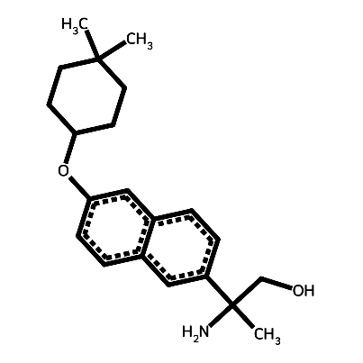 CC1(C)CCC(Oc2ccc3cc(C(C)(N)CO)ccc3c2)CC1